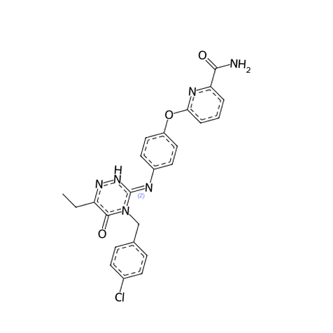 CCc1n[nH]/c(=N\c2ccc(Oc3cccc(C(N)=O)n3)cc2)n(Cc2ccc(Cl)cc2)c1=O